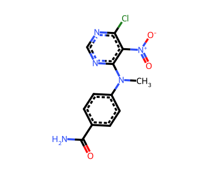 CN(c1ccc(C(N)=O)cc1)c1ncnc(Cl)c1[N+](=O)[O-]